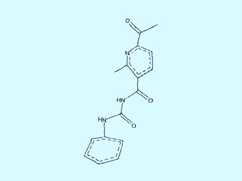 CC(=O)c1ccc(C(=O)NC(=O)Nc2ccccc2)c(C)n1